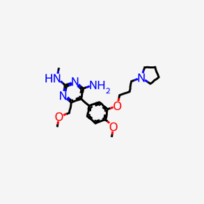 CNc1nc(N)c(-c2ccc(OC)c(OCCCN3CCCC3)c2)c(COC)n1